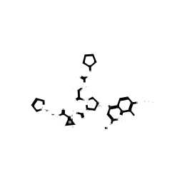 CCOc1cc(O[C@@H]2C[C@@H](C(=O)N[C@]3(C(=O)NS(=O)(=O)N4CC=CC4)C[C@H]3CC)N(C(=O)[C@@H](NC(=O)OC3CCCC3)C(C)(C)C)C2)c2ccc(OC)c(C)c2n1